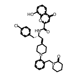 O=C(N[C@H](C=C1CCN(c2ccccc2CN2CCCCC2=O)CC1)Cc1ccc(Cl)cc1)c1cc(=O)c2cccc(O)c2o1